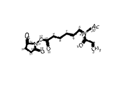 C=CC(=O)N(CCCCCC(=O)ON1C(=O)CCC1=O)C(C)=O